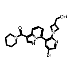 O=C(c1cnn2c(-c3cc(Br)cnc3N3CC(CO)C3)cccc12)N1CCCCC1